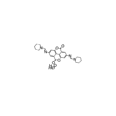 Cl.O.O=c1oc2cc(/N=C/N3CCCCC3)cc3c(=O)oc4cc(/N=C/N5CCCCC5)cc1c4c23